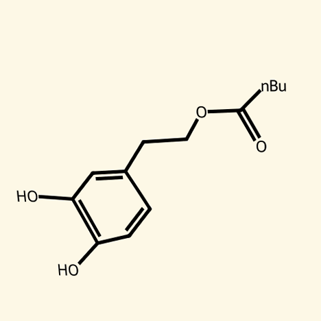 CCCCC(=O)OCCc1ccc(O)c(O)c1